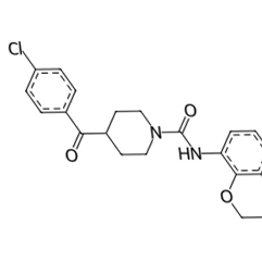 O=C(c1ccc(Cl)cc1)C1CCN(C(=O)Nc2ccnc3c2OCCO3)CC1